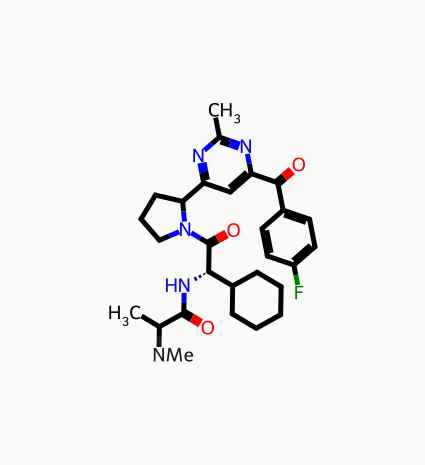 CNC(C)C(=O)N[C@H](C(=O)N1CCCC1c1cc(C(=O)c2ccc(F)cc2)nc(C)n1)C1CCCCC1